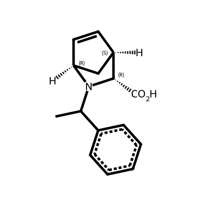 CC(c1ccccc1)N1[C@H]2C=C[C@H](C2)[C@@H]1C(=O)O